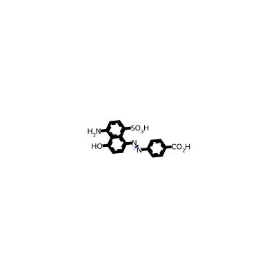 Nc1ccc(S(=O)(=O)O)c2c(/N=N/c3ccc(C(=O)O)cc3)ccc(O)c12